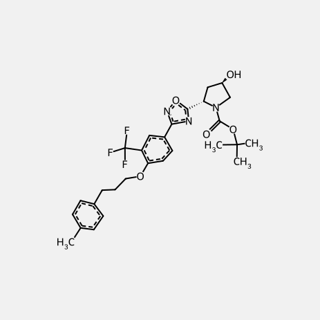 Cc1ccc(CCCOc2ccc(-c3noc([C@@H]4C[C@@H](O)CN4C(=O)OC(C)(C)C)n3)cc2C(F)(F)F)cc1